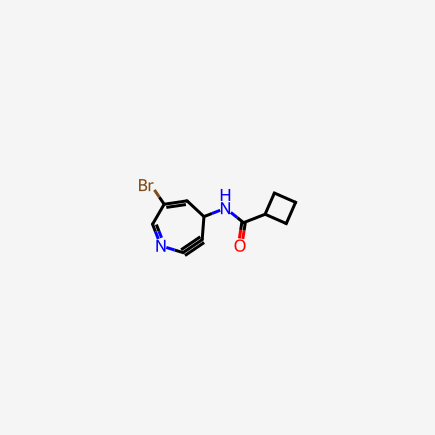 O=C(NC1C#CN=CC(Br)=C1)C1CCC1